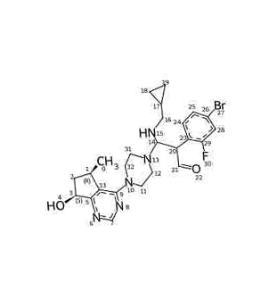 C[C@@H]1C[C@H](O)c2ncnc(N3CCN(C(NCC4CC4)C(C=O)c4ccc(Br)cc4F)CC3)c21